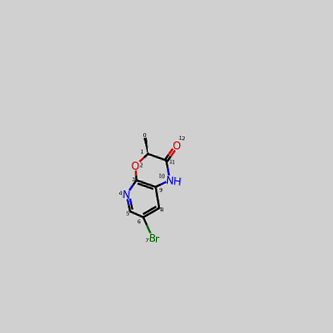 C[C@@H]1Oc2ncc(Br)cc2NC1=O